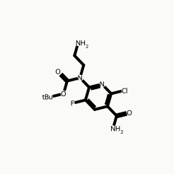 CC(C)(C)OC(=O)N(CCN)c1nc(Cl)c(C(N)=O)cc1F